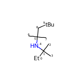 CCC(C)(C)NC(C)(C)CC(C)(C)C